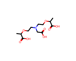 CC(OCCN(CCOC(C)C(=O)O)CC(=O)O)C(=O)O